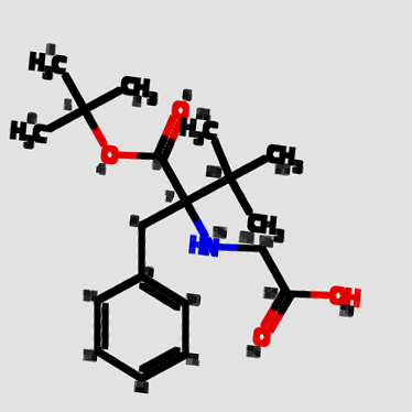 CC(C)(C)OC(=O)C(Cc1ccccc1)(NCC(=O)O)C(C)(C)C